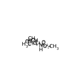 CCCOC(=O)NCCOCC(C)(C)C(C)=O